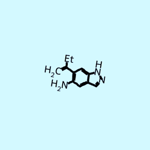 C=C(CC)c1cc2[nH]ncc2cc1N